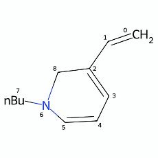 C=CC1=CC=CN(CCCC)C1